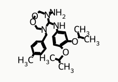 Cc1ccc(CN2COOCN(N)C2Nc2ccc(OC(C)C)c(OC(C)C)c2)cc1